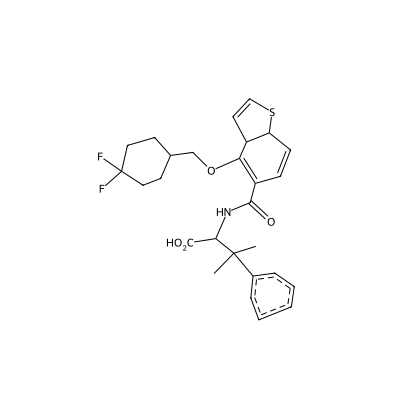 CC(C)(c1ccccc1)C(NC(=O)C1=C(OCC2CCC(F)(F)CC2)C2C=CSC2C=C1)C(=O)O